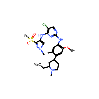 COCC1CC(c2cc(OC(C)C)c(Nc3ncc(Cl)c(Nc4cn(C)nc4S(=O)(=O)C(C)C)n3)cc2C)CCN1C